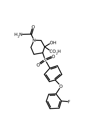 NC(=O)N1CCC(S(=O)(=O)c2ccc(Oc3ccccc3F)cc2)C(O)(C(=O)O)C1